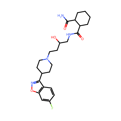 NC(=O)C1CCCCC1C(=O)NCC(O)CCN1CCC(c2noc3cc(F)ccc23)CC1